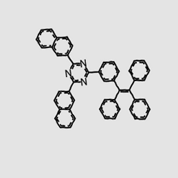 c1ccc(C(=C(c2ccccc2)c2cccc(-c3nc(-c4ccc5ccccc5c4)nc(-c4ccc5ccccc5c4)n3)c2)c2ccccc2)cc1